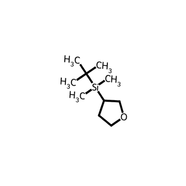 CC(C)(C)[Si](C)(C)C1CCOC1